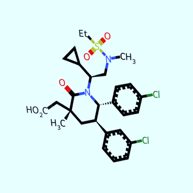 CCS(=O)(=O)N(C)C[C@H](C1CC1)N1C(=O)[C@@](C)(CC(=O)O)C[C@H](c2cccc(Cl)c2)[C@H]1c1ccc(Cl)cc1